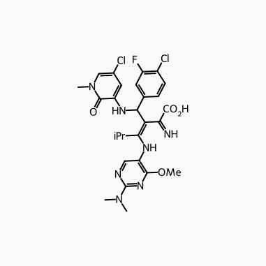 COc1nc(N(C)C)ncc1N/C(=C(\C(=N)C(=O)O)C(Nc1cc(Cl)cn(C)c1=O)c1ccc(Cl)c(F)c1)C(C)C